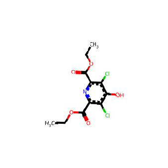 CCOC(=O)c1nc(C(=O)OCC)c(Cl)c(O)c1Cl